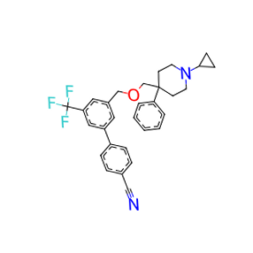 N#Cc1ccc(-c2cc(COCC3(c4ccccc4)CCN(C4CC4)CC3)cc(C(F)(F)F)c2)cc1